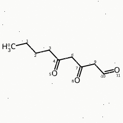 CCCCC(=O)CC(=O)CC=O